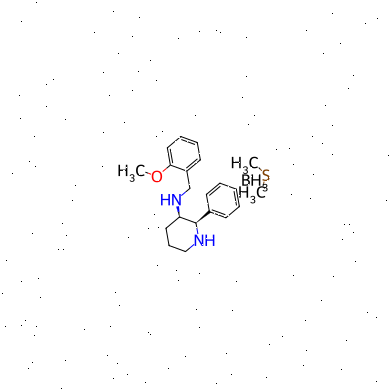 B.COc1ccccc1CN[C@@H]1CCCN[C@@H]1c1ccccc1.CSC